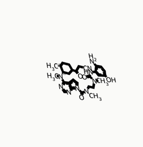 C[C@@H]1CCC(C(=O)CC#N)C[C@@H]1N(C)c1ncnc2c1ccn2C(=O)N(C)CCN(C)C(=O)Nc1cc(O)ccc1N